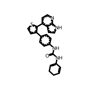 O=C(NC1=CCCC=C1)Nc1ccc(-c2ccsc2-c2ccnc3[nH]ccc23)cc1